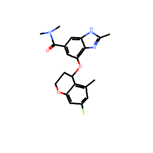 Cc1nc2c(OC3CCOc4cc(F)cc(C)c43)cc(C(=O)N(C)C)cc2[nH]1